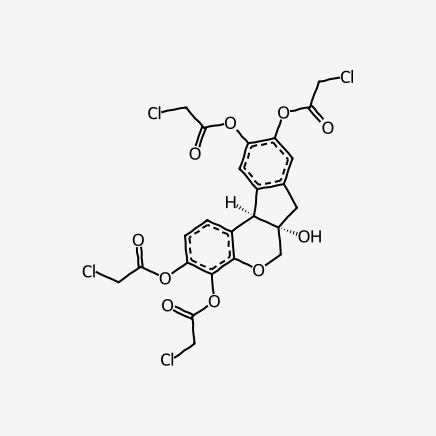 O=C(CCl)Oc1cc2c(cc1OC(=O)CCl)[C@@H]1c3ccc(OC(=O)CCl)c(OC(=O)CCl)c3OC[C@]1(O)C2